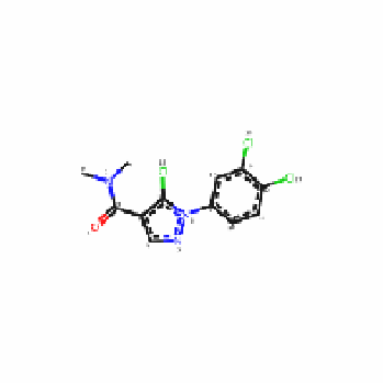 CN(C)C(=O)c1cnn(-c2ccc(Cl)c(Cl)c2)c1Cl